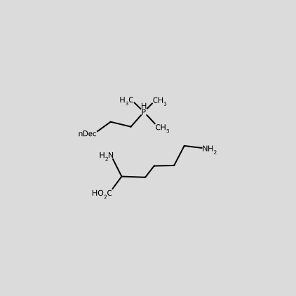 CCCCCCCCCCCC[PH](C)(C)C.NCCCCC(N)C(=O)O